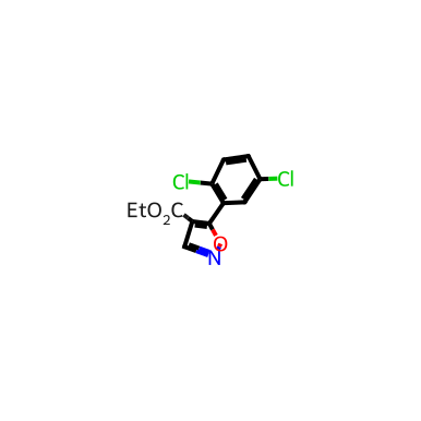 CCOC(=O)c1cnoc1-c1cc(Cl)ccc1Cl